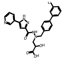 O=C(NN(Cc1ccc(-c2cccc(Cl)c2)cc1)CC(O)C(=O)O)c1cc(-c2cccnc2)[nH]n1